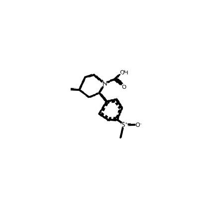 CC1CCN(C(=O)O)C(c2ccc([S+](C)[O-])cc2)C1